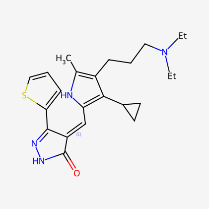 CCN(CC)CCCc1c(C)[nH]c(/C=C2/C(=O)NN=C2c2cccs2)c1C1CC1